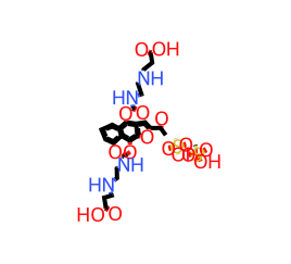 CC(=O)c1cc2c(OC(=O)NCCNCCC(=O)O)c3ccccc3c(OC(=O)NCCNCCC(=O)O)c2o1.CS(=O)(=O)O.CS(=O)(=O)O